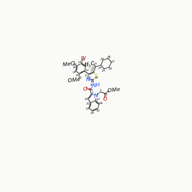 COC(=O)Cn1c(C(=O)Nc2nc(-c3cc(Br)c(OC)cc3OC)c(C(C)C3CCCCC3)s2)cc2ccccc21